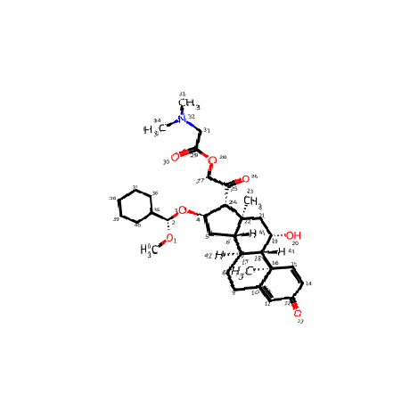 CO[C@@H](O[C@@H]1C[C@H]2[C@@H]3CCC4=CC(=O)C=C[C@]4(C)[C@H]3[C@@H](O)C[C@]2(C)[C@H]1C(=O)COC(=O)CN(C)C)C1CCCCC1